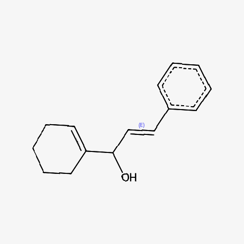 OC(/C=C/c1ccccc1)C1=CCCCC1